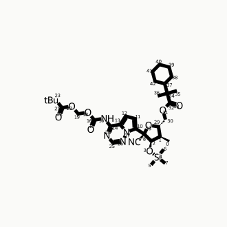 C[C@H]1[C@@H](O[Si](C)(C)C)[C@](C#N)(c2ccc3c(NC(=O)OCOC(=O)C(C)(C)C)ncnn23)O[C@@H]1COC(=O)C(C)(C)C1CCCCC1